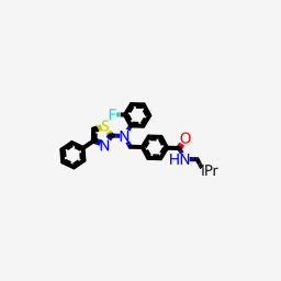 CC(C)CNC(=O)c1ccc(CN(c2nc(-c3ccccc3)cs2)c2ccccc2F)cc1